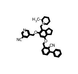 C[C@@H]1CCCCN1Cc1c(OCc2cncc(C#N)c2)cc(OCc2cccc(-c3ccccc3)c2C#N)c2c1CCC2